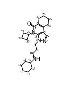 O=c1c2c(c3cnn(CCCNC4CCCCC4)c3n1C1CCC1)CCCC2